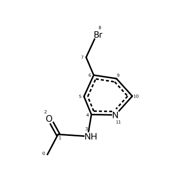 CC(=O)Nc1cc(CBr)ccn1